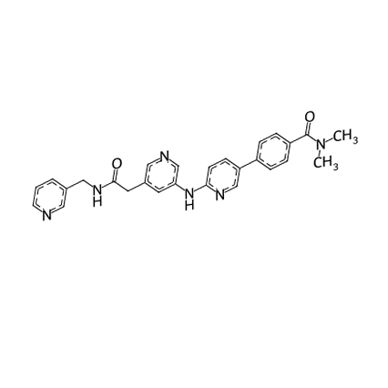 CN(C)C(=O)c1ccc(-c2ccc(Nc3cncc(CC(=O)NCc4cccnc4)c3)nc2)cc1